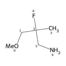 COCC(C)(F)CN